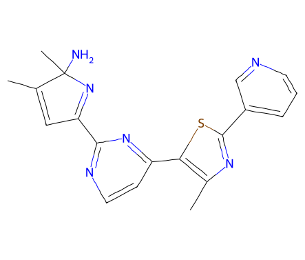 CC1=CC(c2nccc(-c3sc(-c4cccnc4)nc3C)n2)=NC1(C)N